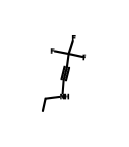 CCNC#CC(F)(F)F